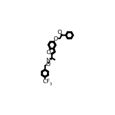 C/C(=N\OCc1ccc(C(F)(F)F)cc1)c1cc2cc(OCC(=O)c3ccccc3)ccc2o1